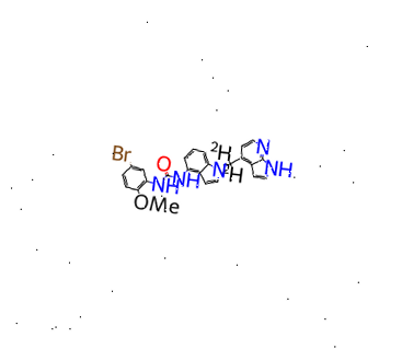 [2H]C([2H])(c1ccnc2[nH]ccc12)n1ccc2c(NC(=O)Nc3cc(Br)ccc3OC)cccc21